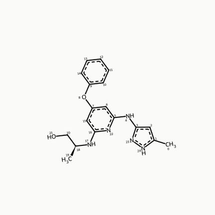 Cc1cc(Nc2cc(Oc3ccccc3)cc(N[C@@H](C)CO)n2)n[nH]1